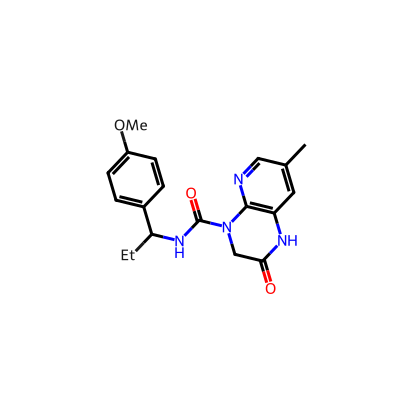 CCC(NC(=O)N1CC(=O)Nc2cc(C)cnc21)c1ccc(OC)cc1